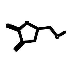 C=C1CC(COC)OC1=O